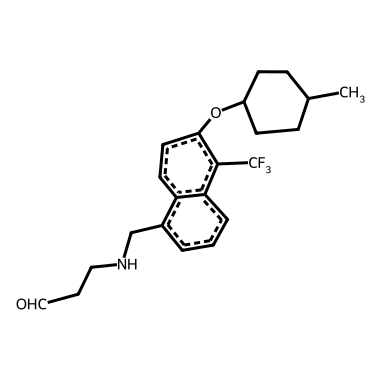 CC1CCC(Oc2ccc3c(CNCCC=O)cccc3c2C(F)(F)F)CC1